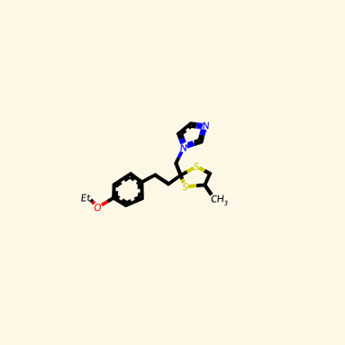 CCOc1ccc(CCC2(Cn3ccnc3)SCC(C)S2)cc1